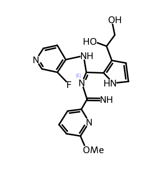 COc1cccc(C(=N)/N=C(/Nc2ccncc2F)c2[nH]ccc2C(O)CO)n1